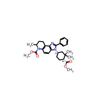 COC(=O)[C@@H]1CC[C@H](n2c(-c3ccccc3)nc3c4c(ccc32)N(C(=O)OC)C(C)CC4)CC1(C)C